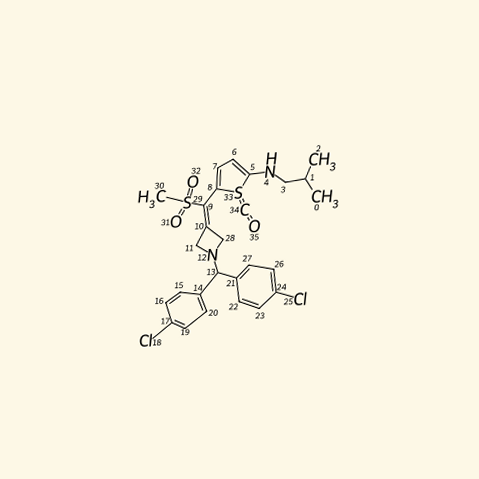 CC(C)CNC1=CC=C(C(=C2CN(C(c3ccc(Cl)cc3)c3ccc(Cl)cc3)C2)S(C)(=O)=O)S1=C=O